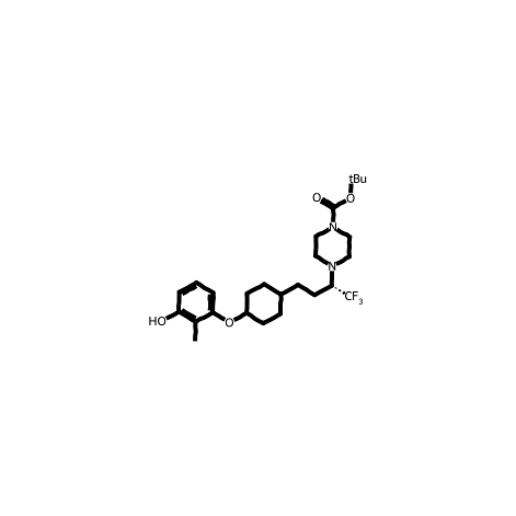 Cc1c(O)cccc1OC1CCC(CC[C@H](N2CCN(C(=O)OC(C)(C)C)CC2)C(F)(F)F)CC1